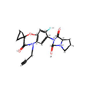 C#CCN1C(=O)C2(CC2)Oc2cc(F)c(N3C(=O)C4CCCN4C3=O)cc21